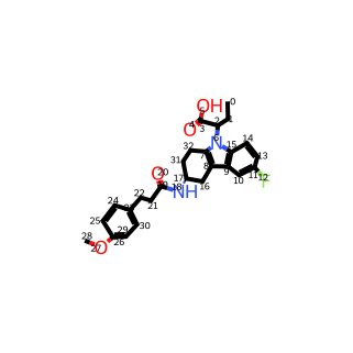 CCC(C(=O)O)n1c2c(c3cc(F)ccc31)C[C@H](NC(=O)CCc1ccc(OC)cc1)CC2